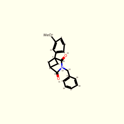 COc1cccc(C23CC(C2)C(=O)N(Cc2ccccc2)C3=O)c1